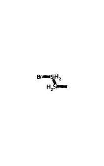 C[SiH2][SiH2]Br